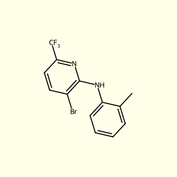 Cc1ccccc1Nc1nc(C(F)(F)F)ccc1Br